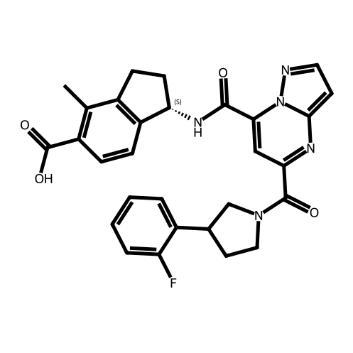 Cc1c(C(=O)O)ccc2c1CC[C@@H]2NC(=O)c1cc(C(=O)N2CCC(c3ccccc3F)C2)nc2ccnn12